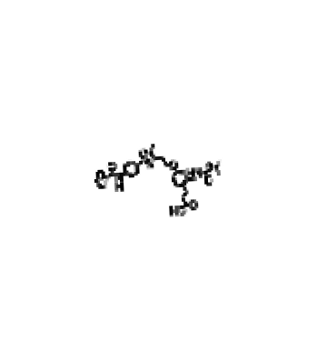 Cc1oc(-c2ccc(NC(=O)c3ccco3)cc2)nc1CCOc1ccc(CCC(=O)O)c(CNC(=O)OC(C)C)c1